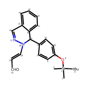 CC(C)(C)[Si](C)(C)Oc1ccc(C2c3ccccc3C=NN2C=CC=O)cc1